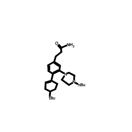 CCCCN1CCN(c2cc(CCC(N)=O)ccc2C2=CCC(C(C)(C)C)CC2)CC1